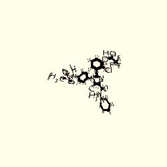 Cc1c(C(=O)NN2CCCCC2)nc(-c2ccccc2Cl)n1-c1ccc(NS(C)(=O)=O)cc1.O=C(O)C(F)(F)F